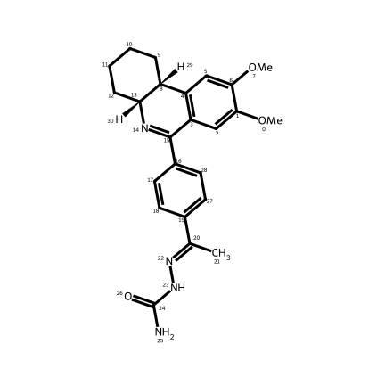 COc1cc2c(cc1OC)[C@H]1CCCC[C@H]1N=C2c1ccc(/C(C)=N/NC(N)=O)cc1